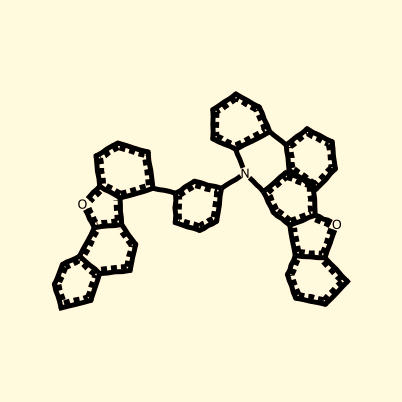 c1ccc(-c2ccccc2N(c2cccc(-c3cccc4oc5c6ccccc6ccc5c34)c2)c2ccc3oc4ccccc4c3c2)cc1